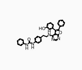 O=C(Nc1ccccc1)Nc1ccc(CCNc2ncnc3oc(-c4ccccc4)c(-c4cccc(O)c4)c23)cc1